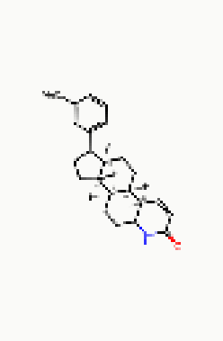 COc1cccc(C2CC[C@H]3[C@@H]4CCC5NC(=O)C=C[C@]5(C)[C@@H]4CC[C@]23C)c1